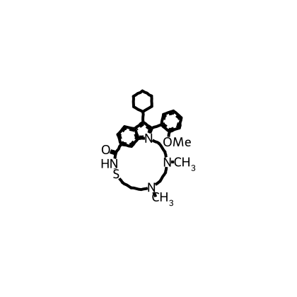 COc1ccccc1-c1c(C2CCCCC2)c2ccc3cc2n1CCN(C)CCN(C)CCCSNC3=O